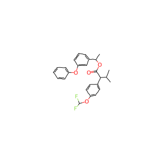 CC(OC(=O)C(c1ccc(OC(F)F)cc1)C(C)C)c1cccc(Oc2ccccc2)c1